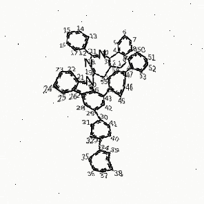 CCC1=C(c2ccccc2)N=C(c2ccccc2)N=C(n2c3ccccc3c3cc(-c4ccc(-c5ccccc5)cc4)cc(-c4ccc(-c5ccccc5)cc4)c32)C1